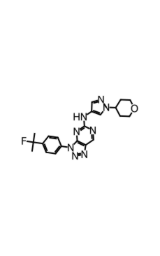 CC(C)(F)c1ccc(-n2nnc3cnc(Nc4cnn(C5CCOCC5)c4)nc32)cc1